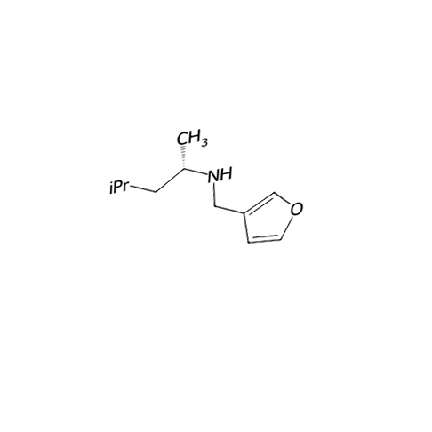 CC(C)C[C@H](C)NCc1ccoc1